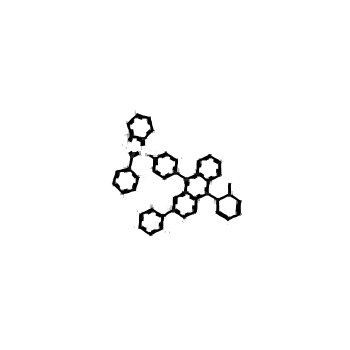 CC1C=CC=CC1c1c2ccccc2c(-c2ccc(-n3c(-c4ccccc4)nc4ccccc43)cc2)c2cc(-c3ccccc3)ccc12